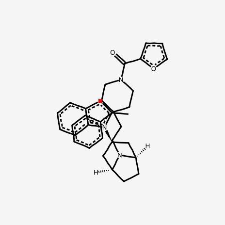 Cc1nc2ccccc2n1[C@H]1C[C@H]2CC[C@@H](C1)N2CCC1(c2ccccc2)CCN(C(=O)c2ccco2)CC1